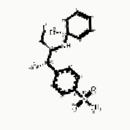 CC[C@@]1(N[C@H](CF)[C@@H](O)c2ccc(S(C)(=O)=O)cc2)C=CC=CC1